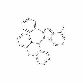 Cc1cccn2c(N3c4ccccc4Sc4ccccc43)c(-c3ccccc3)cc12